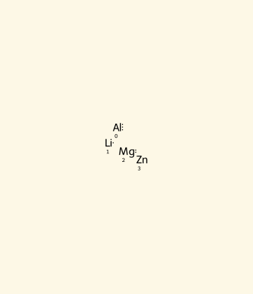 [Al].[Li].[Mg].[Zn]